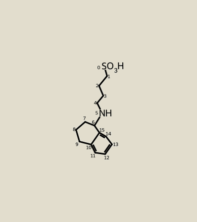 O=S(=O)(O)CCCCNC1CCCc2ccccc21